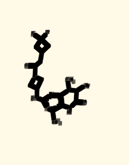 Cc1nc(NC2CN(C(=O)CC3CC(F)(F)C3)C2)nc2c1NC(=O)C(C(C)C)N2C